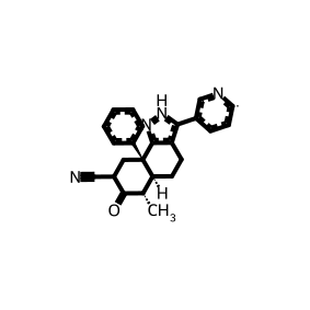 C[C@@H]1C(=O)C(C#N)C[C@]2(c3ccccc3)c3n[nH]c(-c4cc[c]nc4)c3CC[C@@H]12